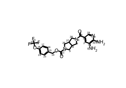 Nc1cc(C(=O)N2CC3CN(C(=O)OCc4ccc(OC(F)(F)F)cc4)CC3C2)cnc1N